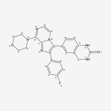 O=C1NCc2cc(-c3c(-c4ccc(F)cc4)nc4c(N5CCOCC5)nccn34)ccc2N1